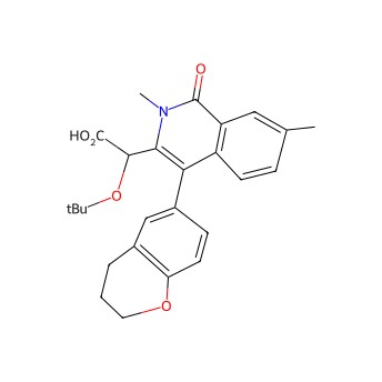 Cc1ccc2c(-c3ccc4c(c3)CCCO4)c(C(OC(C)(C)C)C(=O)O)n(C)c(=O)c2c1